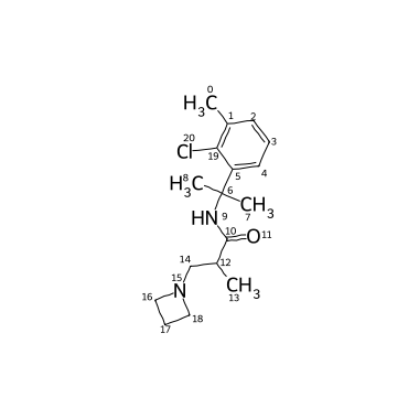 Cc1cccc(C(C)(C)NC(=O)C(C)CN2CCC2)c1Cl